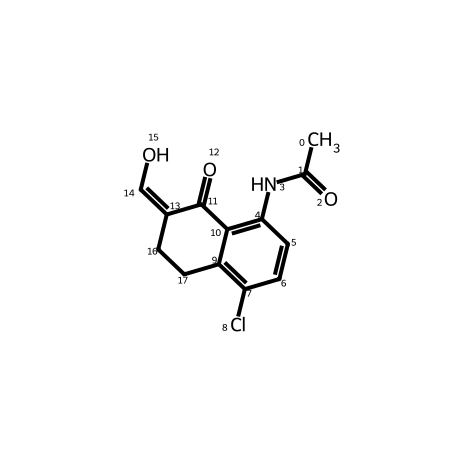 CC(=O)Nc1ccc(Cl)c2c1C(=O)C(=CO)CC2